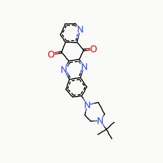 CC(C)(C)N1CCN(c2ccc3nc4c(nc3c2)C(=O)c2ncccc2C4=O)CC1